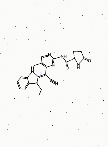 CCN1/C(=C(\C#N)c2nc(NC(=O)C3CCC(=O)N3)ncc2C)Nc2ccccc21